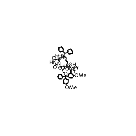 COc1ccc(C(OC[C@H]2O[C@@H](n3cc(C)c(=O)[nH]c3=O)C[C@@H]2O[PH](O)(CC=CC[SiH2]C(c2ccccc2)c2ccccc2)N(C(C)C)C(C)C)(c2ccccc2)c2ccc(OC)cc2)cc1